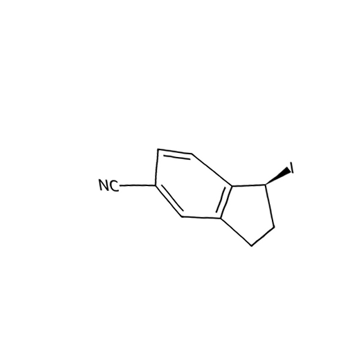 N#Cc1ccc2c(c1)CC[C@@H]2I